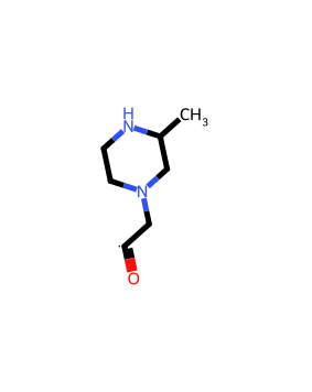 CC1CN(C[C]=O)CCN1